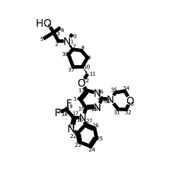 CN(CC(C)(C)O)[C@H]1CC[C@H](COc2cc(-n3c(C(F)F)nc4ccccc43)nc(N3CCOCC3)n2)CC1